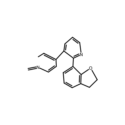 C=N/C=C\C(=C/C)c1cccnc1-c1cccc2c1OCC2